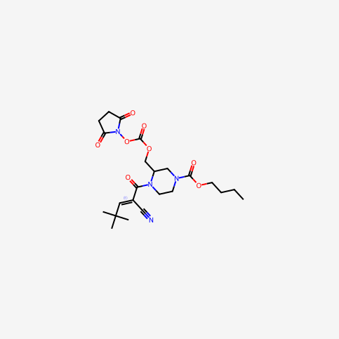 CCCCOC(=O)N1CCN(C(=O)/C(C#N)=C/C(C)(C)C)C(COC(=O)ON2C(=O)CCC2=O)C1